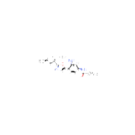 C=CCC(C(=O)OCC)c1ncc(-c2ccc(NC(=O)OC)cc2N)o1